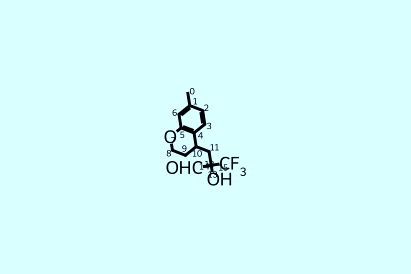 Cc1ccc2c(c1)OCCC2CC(O)(C=O)C(F)(F)F